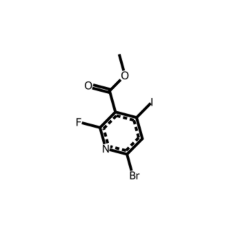 COC(=O)c1c(I)cc(Br)nc1F